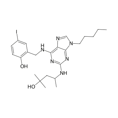 CCCCCn1cnc2c(NCc3cc(I)ccc3O)nc(NC(C)CC(C)(C)O)nc21